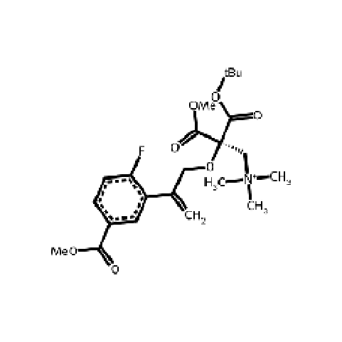 C=C(CO[C@@](C[N+](C)(C)C)(C(=O)OC)C(=O)OC(C)(C)C)c1cc(C(=O)OC)ccc1F